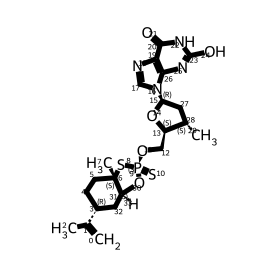 C=C(C)[C@@H]1CC[C@]2(C)S[P@@](=S)(OC[C@H]3O[C@@H](n4cnc5c(=O)[nH]c(O)nc54)C[C@@H]3C)O[C@H]2C1